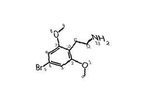 COc1cc(Br)cc(OC)c1CCN